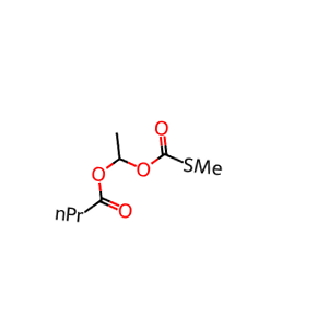 CCCC(=O)OC(C)OC(=O)SC